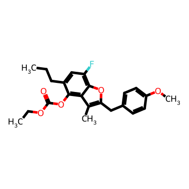 CCCc1cc(F)c2oc(Cc3ccc(OC)cc3)c(C)c2c1OC(=O)OCC